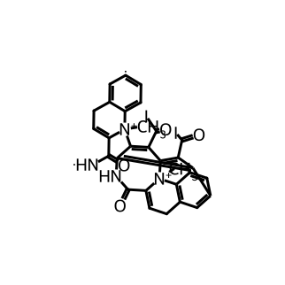 C[N+]1(c2c3c4c(C(=O)I)c(c2C(=O)I)[N+]2(C)C(=CCc5cc-4ccc52)C(=O)N3)C(C([NH])=O)=CCc2c[c]ccc21